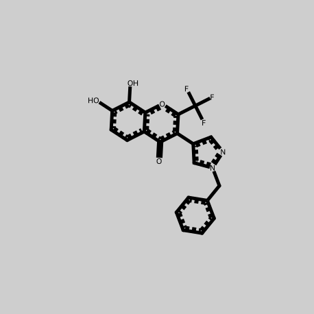 O=c1c(-c2cnn(Cc3ccccc3)c2)c(C(F)(F)F)oc2c(O)c(O)ccc12